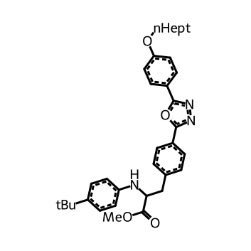 CCCCCCCOc1ccc(-c2nnc(-c3ccc(CC(Nc4ccc(C(C)(C)C)cc4)C(=O)OC)cc3)o2)cc1